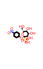 O=[N+]([O-])c1ccc(O[C@]2(S(=O)(=O)O)O[C@H](CO)[C@H](O)[C@H](O)[C@H]2O)cc1